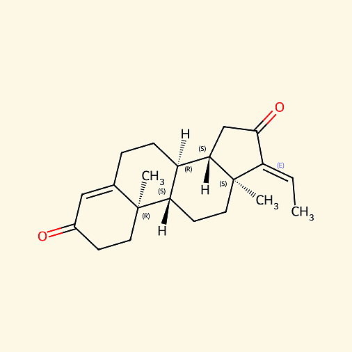 C/C=C1/C(=O)C[C@H]2[C@@H]3CCC4=CC(=O)CC[C@]4(C)[C@H]3CC[C@]12C